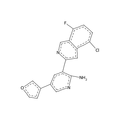 Nc1ncc(-c2ccoc2)cc1-c1cc2c(Cl)ccc(F)c2cn1